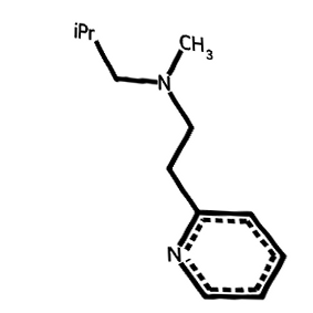 CC(C)CN(C)CCc1ccccn1